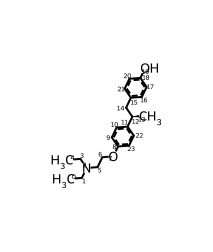 CCN(CC)CCOc1ccc([C@H](C)Cc2ccc(O)cc2)cc1